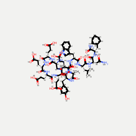 CC(C)C[C@H](NC(=O)[C@H](Cc1c[nH]c2ccccc12)NC(=O)CNC(=O)[C@H](Cc1ccc(O)cc1)NC(=O)[C@H](C)NC(=O)[C@H](CCC(=O)O)NC(=O)[C@H](CCC(=O)O)NC(=O)[C@H](CCC(=O)O)NC(=O)[C@H](CCC(=O)O)NC(=O)[C@H](CCC(=O)O)NC(=O)[C@@H](N)CC(C)C)C(=O)N[C@@H](CC(N)=O)C(=O)N[C@@H](Cc1ccccc1)C(N)=O